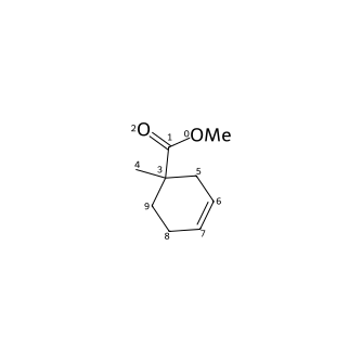 COC(=O)C1(C)CC=CCC1